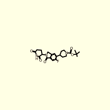 CC(C)(C)OC(=O)N1CCC(c2cc3c(cc2F)C(=O)N(C2CCC(=O)NC2=O)C3)CC1